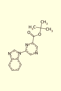 CC(C)(C)OC(=O)c1cncc(-n2cnc3ccccc32)n1